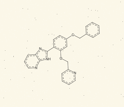 c1ccc(COc2ccc(-c3nc4cccnc4[nH]3)c(OCc3ccccn3)c2)cc1